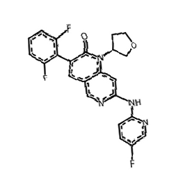 O=c1c(-c2c(F)cccc2F)cc2cnc(Nc3ccc(F)cn3)cc2n1[C@H]1CCOC1